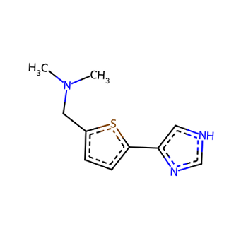 CN(C)Cc1ccc(-c2c[nH]cn2)s1